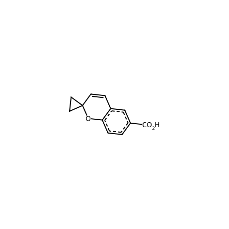 O=C(O)c1ccc2c(c1)C=CC1(CC1)O2